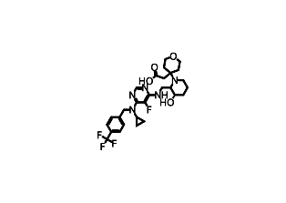 O=C(O)CC1(N2CCC[C@@H](O)C2CNc2ncnc(N(Cc3ccc(C(F)(F)F)cc3)C3CC3)c2F)CCOCC1